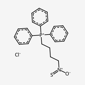 [Cl-].[O-][N+](=S)CCCC[P+](c1ccccc1)(c1ccccc1)c1ccccc1